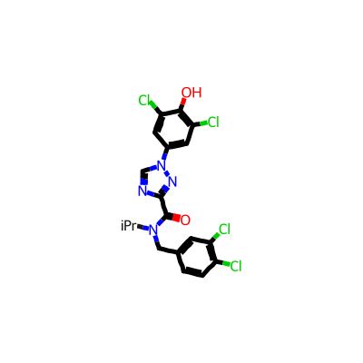 CC(C)N(Cc1ccc(Cl)c(Cl)c1)C(=O)c1ncn(-c2cc(Cl)c(O)c(Cl)c2)n1